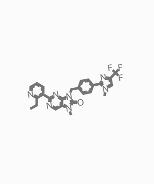 CCc1ncccc1-c1ncc2c(n1)n(Cc1ccc(-c3nc(C(F)(F)F)cn3C)cc1)c(=O)n2C